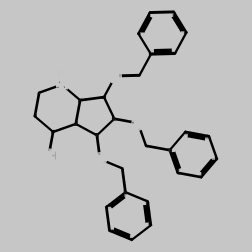 OC1CCNC2C(OCc3ccccc3)C(OCc3ccccc3)C(OCc3ccccc3)C12